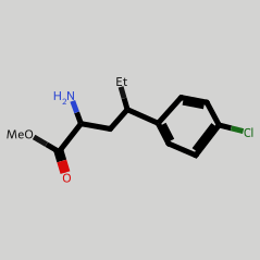 CCC(CC(N)C(=O)OC)c1ccc(Cl)cc1